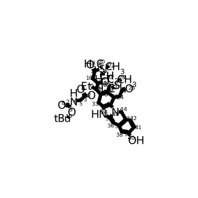 CCC1(OC(=O)CNC(=O)OC(C)(C)C)C2=C(COC1CC(=O)[Si](C)(C)C)C(CC(=O)[Si](C)(C)C)C1=C(C2)NC2=Cc3cc(O)ccc3CN21